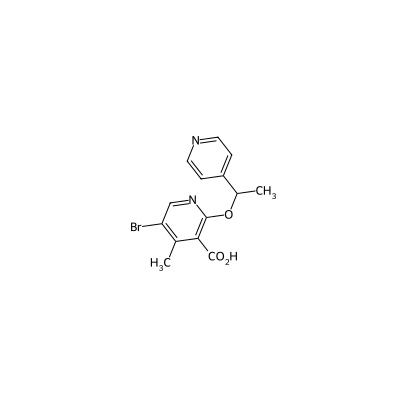 Cc1c(Br)cnc(OC(C)c2ccncc2)c1C(=O)O